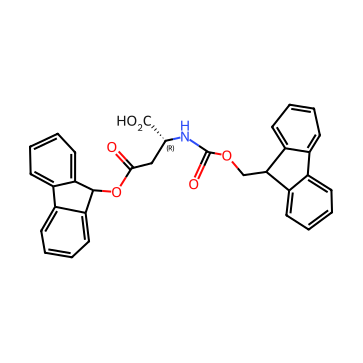 O=C(C[C@@H](NC(=O)OCC1c2ccccc2-c2ccccc21)C(=O)O)OC1c2ccccc2-c2ccccc21